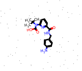 CC(C)(C)N(C(=O)O)c1cccc(C(=O)NCc2ccc(N)cc2)n1